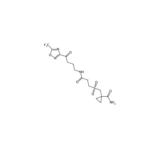 NC(=O)C1(CS(=O)(=O)C[CH]C(=O)NCCCC(=O)c2noc(C(F)(F)F)n2)CC1